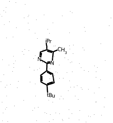 Cc1nc(-c2ccc(C(C)(C)C)cc2)ncc1C(C)C